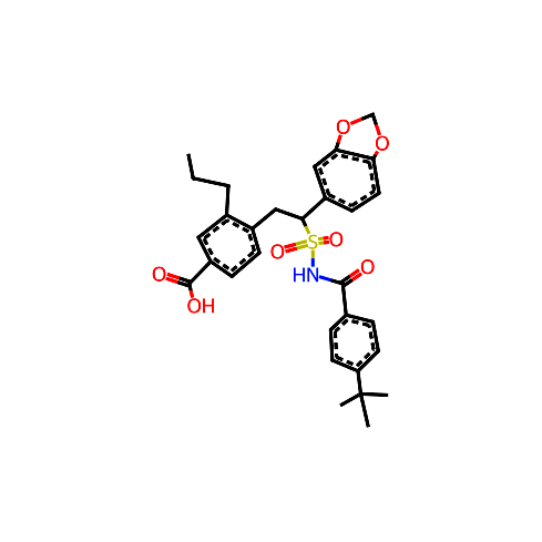 CCCc1cc(C(=O)O)ccc1CC(c1ccc2c(c1)OCO2)S(=O)(=O)NC(=O)c1ccc(C(C)(C)C)cc1